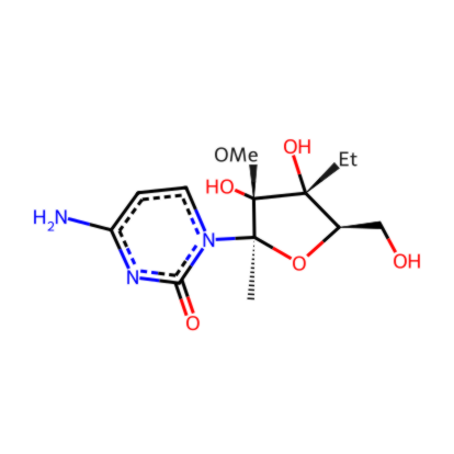 CC[C@@]1(O)[C@@H](CO)O[C@@](C)(n2ccc(N)nc2=O)[C@@]1(O)OC